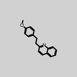 COc1ccc(CCc2ccc3ccccc3n2)cc1